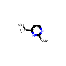 CCC[CH2][SnH2][c]1ccnc(SC)n1